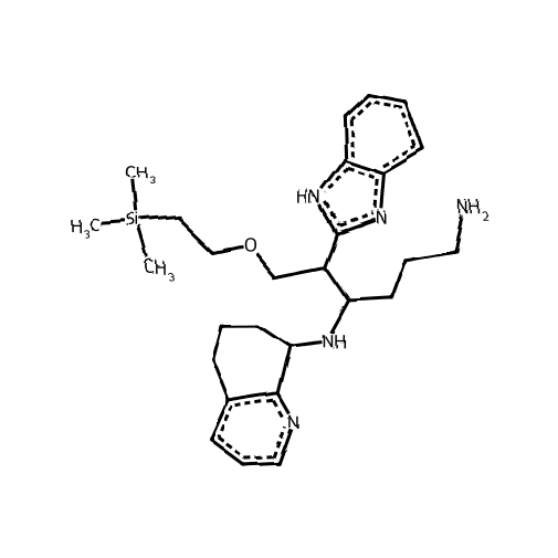 C[Si](C)(C)CCOCC(c1nc2ccccc2[nH]1)C(CCCN)NC1CCCc2cccnc21